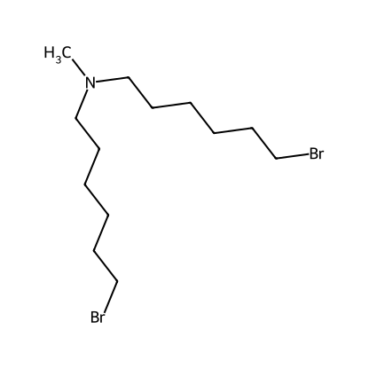 CN(CCCCCCBr)CCCCCCBr